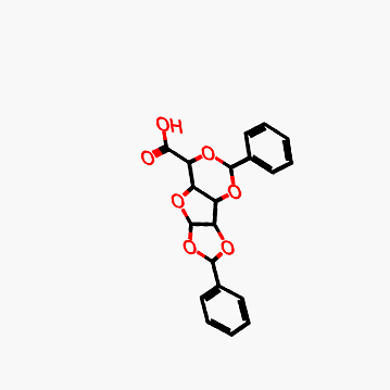 O=C(O)C1OC(c2ccccc2)OC2C3OC(c4ccccc4)OC3OC12